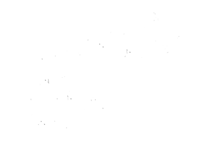 COc1ccc2nccc(N3CCC(SCCNCc4cc5c(cn4)OCCO5)C3)c2n1